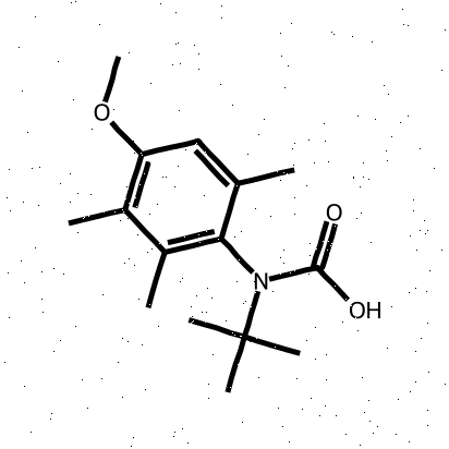 COc1cc(C)c(N(C(=O)O)C(C)(C)C)c(C)c1C